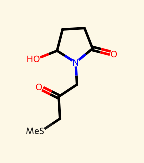 CSCC(=O)CN1C(=O)CCC1O